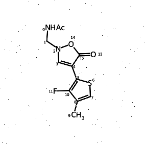 CC(=O)NCn1cc(-c2scc(C)c2F)c(=O)o1